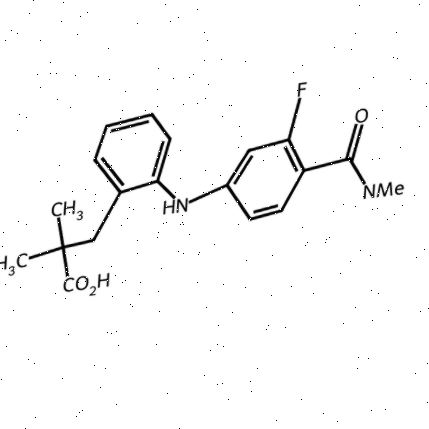 CNC(=O)c1ccc(Nc2ccccc2CC(C)(C)C(=O)O)cc1F